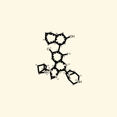 Oc1cc(-c2c(Cl)cc3c(nc(N4C5CCC4CNC5)c4ncn(C5C6CNC5C6)c43)c2F)c2ccccc2c1